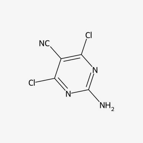 N#Cc1c(Cl)nc(N)nc1Cl